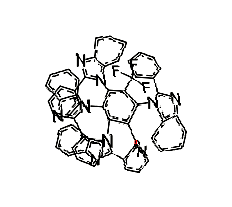 N#Cc1c(-n2c(-c3ccccc3)nc3ccccc32)c(-n2c(-c3ccccc3)nc3ccccc32)c(-n2c(-c3ccccc3)nc3ccccc32)c(C(F)(F)F)c1-n1c(-c2ccccc2)nc2ccccc21